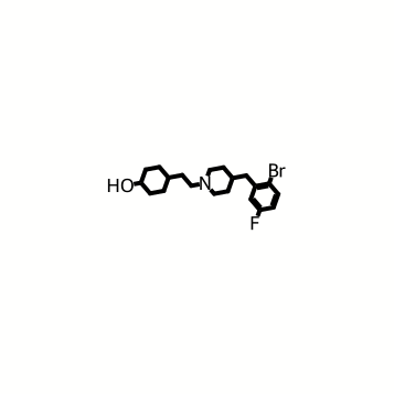 OC1CCC(CCN2CCC(Cc3cc(F)ccc3Br)CC2)CC1